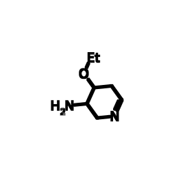 CCOC1CC=NCC1N